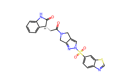 O=C1Nc2ccccc2[C@H]1CC(=O)N1Cc2cn(S(=O)(=O)c3ccc4ncsc4c3)nc2C1